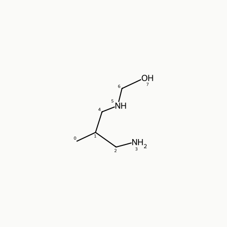 CC(CN)CNCO